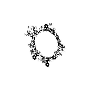 CCCC[C@H]1C(=O)N(C)[C@@H](CCCC)C(=O)N[C@@H](CCCNC(=N)N)C(=O)NC(C(=O)NCC(N)=O)CSCC(=O)N[C@@H](Cc2ccc(O)cc2)C(=O)N(C)[C@@H](C)C(=O)N[C@@H](CC(N)=O)C(=O)N2CCC[C@H]2C(=O)N[C@@H](Cc2c[nH]cn2)C(=O)N[C@@H](C)C(=O)N[C@@H](CC(C)C)C(=O)N2CCC[C@H]2C(=O)N[C@@H](Cc2c[nH]c3ccccc23)C(=O)N[C@@H](CO)C(=O)N[C@@H](Cc2c[nH]c3ccccc23)C(=O)N1C